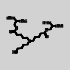 CCCCCCCCC(CCCCCC)COC(=O)CCCCN(CCCCO)CCCCC(=O)OCC(CCCCCC)CCCCCCCC